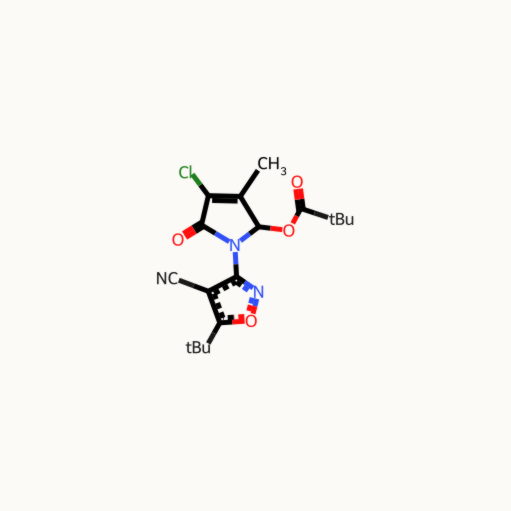 CC1=C(Cl)C(=O)N(c2noc(C(C)(C)C)c2C#N)C1OC(=O)C(C)(C)C